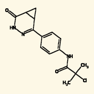 CC(C)(Cl)C(=O)Nc1ccc(C2=NNC(=O)C3CC23)cc1